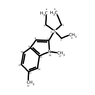 CCS(CC)(CC)c1cc2ccc(C)cc2n1C